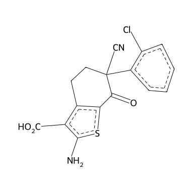 N#CC1(c2ccccc2Cl)CCc2c(sc(N)c2C(=O)O)C1=O